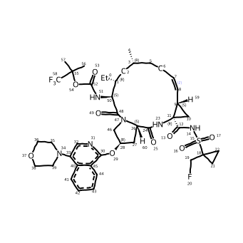 CC[C@@H]1C[C@H](C)CC/C=C\[C@@H]2C[C@@]2(C(=O)NS(=O)(=O)C2(CF)CC2)NC(=O)[C@@H]2C[C@@H](Oc3ncc(N4CCOCC4)c4ccccc34)CN2C(=O)[C@H]1NC(=O)OC(C)(C)C(F)(F)F